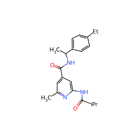 CCc1ccc(C(C)NC(=O)c2cc(C)nc(NC(=O)C(C)C)c2)cc1